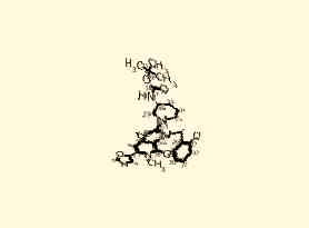 Cn1c(-c2cnco2)cc2nc(N3CCC[C@@H](NC(=O)OC(C)(C)C)C3)n(Cc3ccccc3Cl)c2c1=O